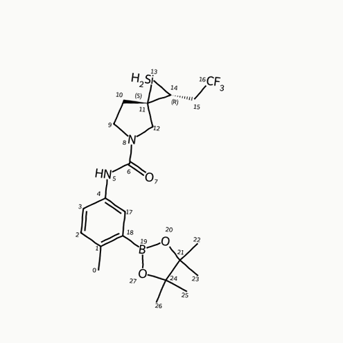 Cc1ccc(NC(=O)N2CC[C@@]3(C2)[SiH2][C@@H]3CC(F)(F)F)cc1B1OC(C)(C)C(C)(C)O1